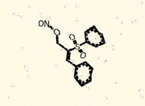 O=NOCC(=Cc1ccccc1)S(=O)(=O)c1ccccc1